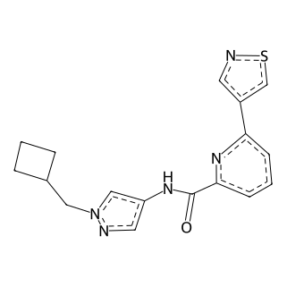 O=C(Nc1cnn(CC2CCC2)c1)c1cccc(-c2cnsc2)n1